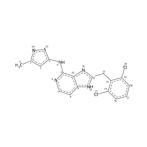 Cc1cc(Nc2nccc3[nH]c(Cc4c(Cl)cccc4Cl)nc23)sn1